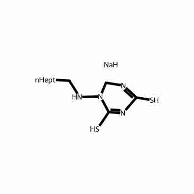 CCCCCCCCNN1CN=C(S)N=C1S.[NaH]